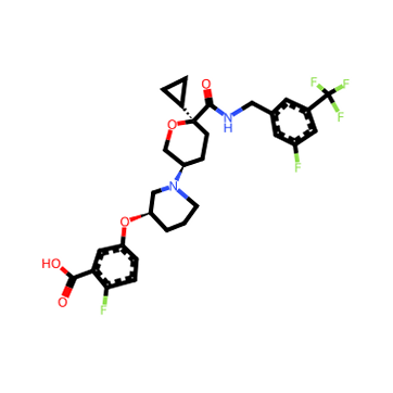 O=C(O)c1cc(O[C@@H]2CCCN([C@@H]3CC[C@@](C(=O)NCc4cc(F)cc(C(F)(F)F)c4)(C4CC4)OC3)C2)ccc1F